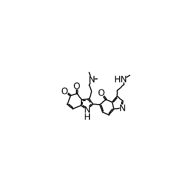 CNCCC1=C2C(=O)C(c3[nH]c4c(c3CCN(C)C)C(=O)C(=O)C=C4)=CC=C2N=C1